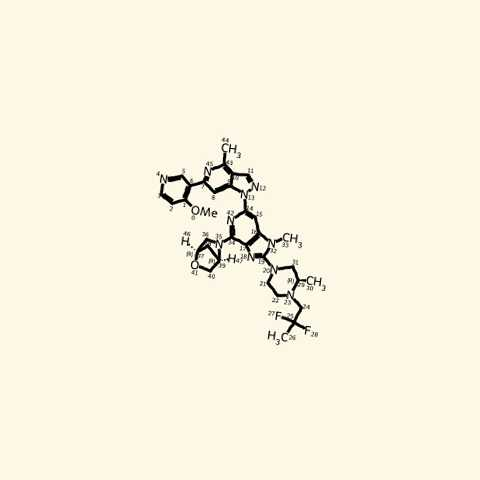 COc1ccncc1-c1cc2c(cnn2-c2cc3c(nc(N4CCN(CC(C)(F)F)[C@H](C)C4)n3C)c(N3C[C@H]4C[C@@H]3CO4)n2)c(C)n1